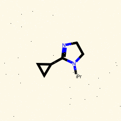 CC(C)N1CCN=C1C1CC1